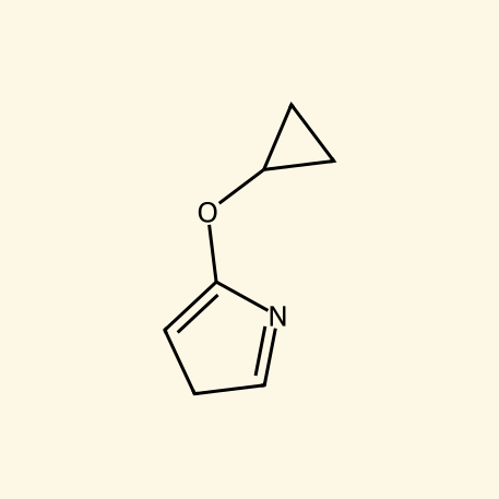 C1=NC(OC2CC2)=CC1